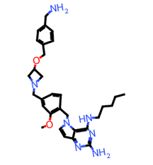 CCCCCNc1nc(N)nc2ccn(Cc3ccc(CN4CC(OCc5ccc(CN)cc5)C4)cc3OC)c12